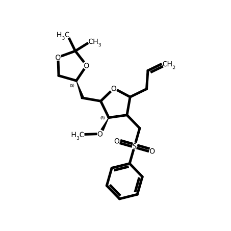 C=CCC1OC(C[C@H]2COC(C)(C)O2)[C@H](OC)C1CS(=O)(=O)c1ccccc1